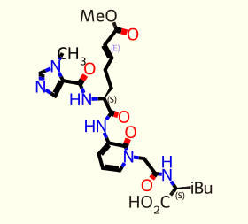 CCC(C)[C@H](NC(=O)Cn1cccc(NC(=O)[C@H](CC/C=C/C(=O)OC)NC(=O)c2cncn2C)c1=O)C(=O)O